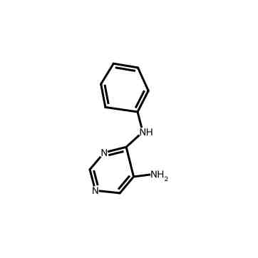 Nc1cncnc1Nc1ccccc1